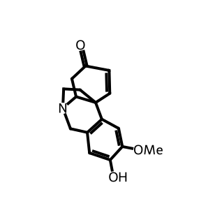 COc1cc2c(cc1O)CN1CCC23C=CC(=O)CC13